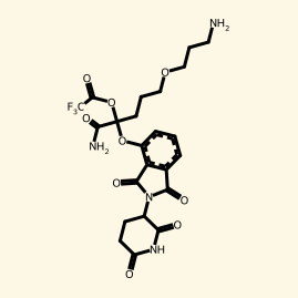 NCCCOCCCC(OC(=O)C(F)(F)F)(Oc1cccc2c1C(=O)N(C1CCC(=O)NC1=O)C2=O)C(N)=O